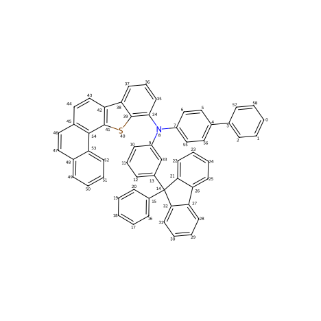 c1ccc(-c2ccc(N(c3cccc(C4(c5ccccc5)c5ccccc5-c5ccccc54)c3)c3cccc4c3sc3c4ccc4ccc5ccccc5c43)cc2)cc1